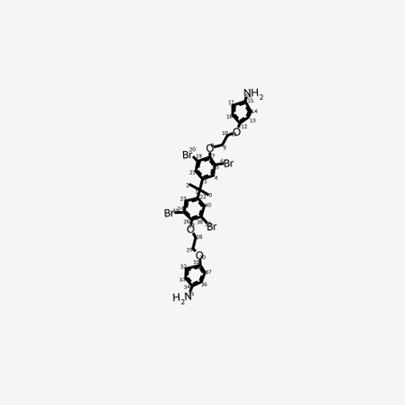 CC(C)(c1cc(Br)c(OCCOc2ccc(N)cc2)c(Br)c1)c1cc(Br)c(OCCOc2ccc(N)cc2)c(Br)c1